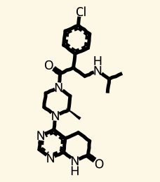 CC(C)NCC(C(=O)N1CCN(c2ncnc3c2CCC(=O)N3)[C@H](C)C1)c1ccc(Cl)cc1